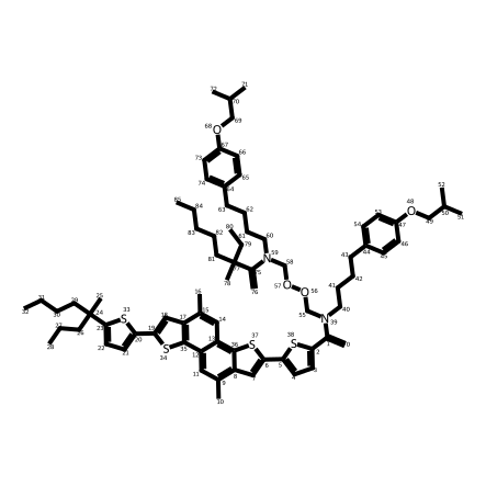 C=C(c1ccc(-c2cc3c(C)cc4c(cc(C)c5cc(-c6ccc(C(C)(CCC)CCCC)s6)sc54)c3s2)s1)N(CCCCc1ccc(OCC(C)C)cc1)COOCN(CCCCc1ccc(OCC(C)C)cc1)C(=C)C(C)(CC)CCCCC